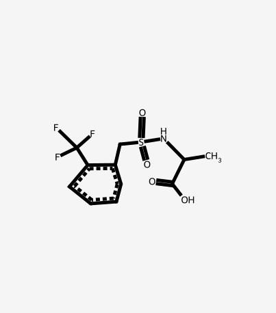 CC(NS(=O)(=O)Cc1ccccc1C(F)(F)F)C(=O)O